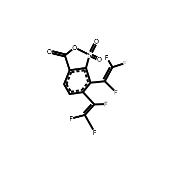 O=C1OS(=O)(=O)c2c1ccc(C(F)=C(F)F)c2C(F)=C(F)F